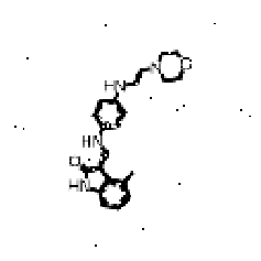 Cc1cccc2c1C(=CNc1ccc(NCCN3CCOCC3)cc1)C(=O)N2